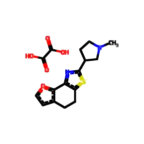 CN1CCC(c2nc3c(s2)CCc2ccoc2-3)C1.O=C(O)C(=O)O